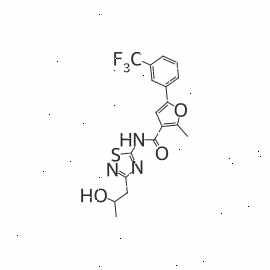 Cc1oc(-c2cccc(C(F)(F)F)c2)cc1C(=O)Nc1nc(CC(C)O)ns1